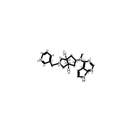 CN(c1ncnc2[nH]ccc12)[C@H]1C[C@@H]2CN(Cc3cccnc3)C[C@@H]2C1